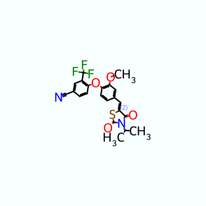 COc1cc(/C=C2\SC(=O)N(C(C)C)C2=O)ccc1Oc1ccc(C#N)cc1C(F)(F)F